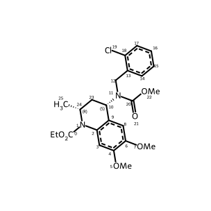 CCOC(=O)N1c2cc(OC)c(OC)cc2[C@@H](N(Cc2ccccc2Cl)C(=O)OC)C[C@H]1C